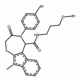 CC(C)OCCCNC(=O)C1c2c(n(C)c3ccccc23)SCC(=O)N1c1ccc(C(C)C)cc1